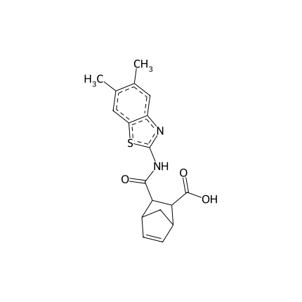 Cc1cc2nc(NC(=O)C3C4C=CC(C4)C3C(=O)O)sc2cc1C